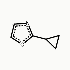 [c]1coc(C2CC2)n1